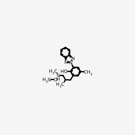 Cc1cc(CC(C)C[SiH](C)O[SiH3])c(O)c(-n2nc3ccccc3n2)c1